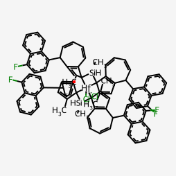 CC1=CC2=C(C=CC=CC2c2ccc(F)c3ccccc23)[C]12[SiH](C)[C]1(C(C)=CC3=C1C=CC=CC3c1ccc(F)c3ccccc13)[Hf]21([Cl])([Cl])[C]2(C(C)=CC3=C2C=CC=CC3c2ccc(F)c3ccccc23)[SiH](C)[C]12C(C)=CC1=C2C=CC=CC1c1ccc(F)c2ccccc12